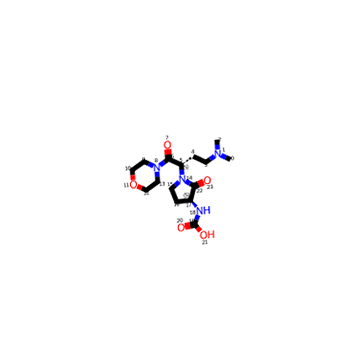 CN(C)CC[C@@H](C(=O)N1CCOCC1)N1CC[C@H](NC(=O)O)C1=O